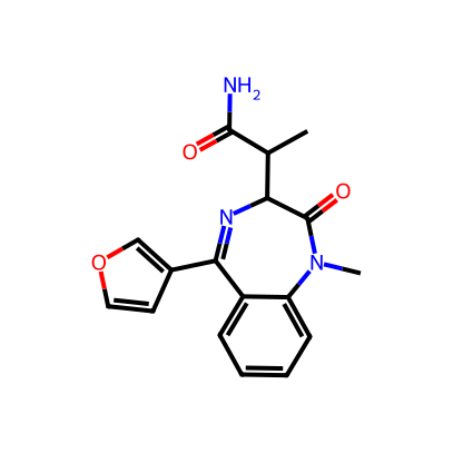 CC(C(N)=O)C1N=C(c2ccoc2)c2ccccc2N(C)C1=O